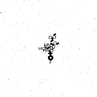 CCOC(=O)CC[C@@H](NC(=O)[C@@H](NC(=O)C(C)(C)c1ccc(F)cc1)[C@H](C)O)C(=O)OCC